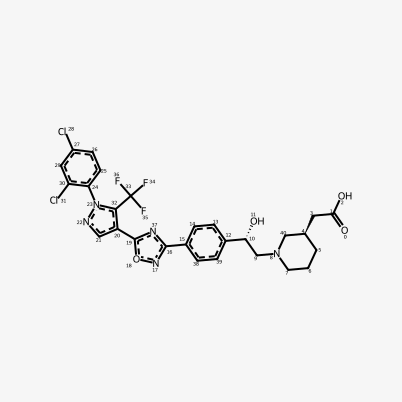 O=C(O)C[C@H]1CCCN(C[C@@H](O)c2ccc(-c3noc(-c4cnn(-c5ccc(Cl)cc5Cl)c4C(F)(F)F)n3)cc2)C1